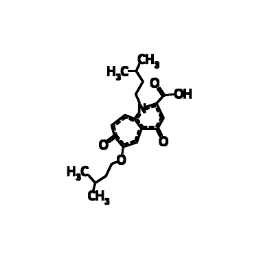 CC(C)CCOc1cc2c(=O)cc(C(=O)O)n(CCC(C)C)c2ccc1=O